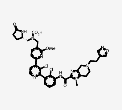 COc1nc(-c2ccnc(-c3cccc(NC(=O)c4nc5c(n4C)CCN(CCc4cnoc4)C5)c3Cl)c2Cl)ccc1CN(C[C@@H]1CCC(=O)N1)C(=O)O